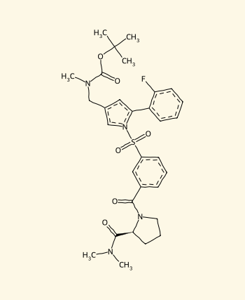 CN(C)C(=O)[C@@H]1CCCN1C(=O)c1cccc(S(=O)(=O)n2cc(CN(C)C(=O)OC(C)(C)C)cc2-c2ccccc2F)c1